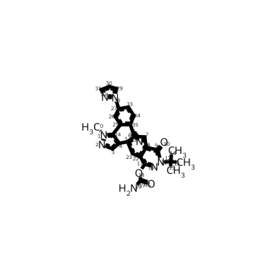 Cn1ncc(-c2ccc3c(=O)n(C(C)(C)C)nc(OC(N)=O)c3c2)c1-c1cc(-n2cccn2)ccc1C#N